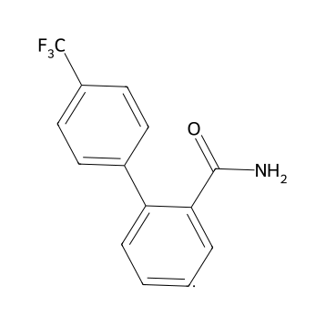 NC(=O)c1c[c]ccc1-c1ccc(C(F)(F)F)cc1